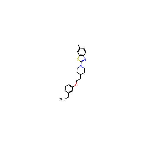 Cc1ccc2nc(N3CCC(CCOc4cccc(CC=O)c4)CC3)sc2c1